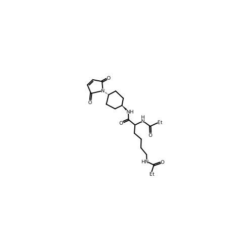 CCC(=O)NCCCCC(NC(=O)CC)C(=O)N[C@H]1CC[C@H](N2C(=O)C=CC2=O)CC1